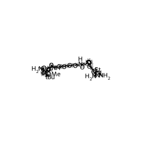 CCc1nc(N)nc(N)c1OCCCOc1ccccc1CCC(=O)NCCOCCOCCOCCOCCNC(=O)c1ccc(N2C(CC(C)(C)C)CCC2C(N)=O)c(OC)c1